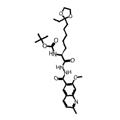 CCC1(CCCCC[C@H](NC(=O)OC(C)(C)C)C(=O)NNC(=O)c2cc3ccc(C)nc3cc2OC)OCCO1